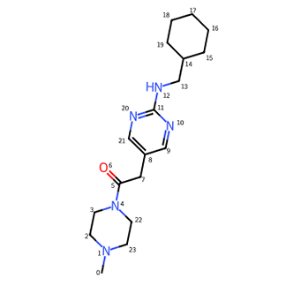 CN1CCN(C(=O)Cc2cnc(NCC3CCCCC3)nc2)CC1